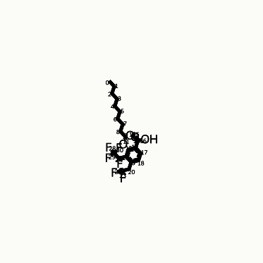 CCCCCCCCCC(=O)Oc1c(C(=O)O)ccc(CC(F)(F)F)c1CC(F)(F)F